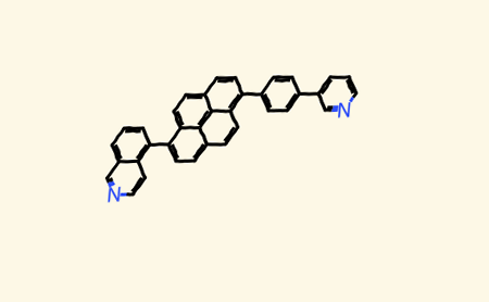 c1cncc(-c2ccc(-c3ccc4ccc5c(-c6cccc7cnccc67)ccc6ccc3c4c65)cc2)c1